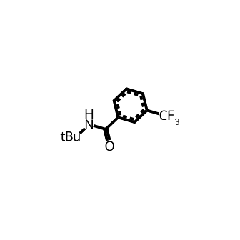 CC(C)(C)NC(=O)c1cccc(C(F)(F)F)c1